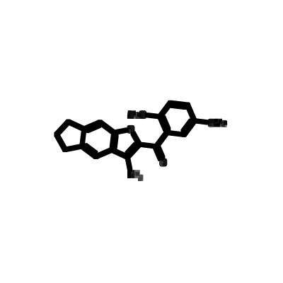 COc1ccc(OC)c(C(=O)c2oc3cc4c(cc3c2N)CCC4)c1